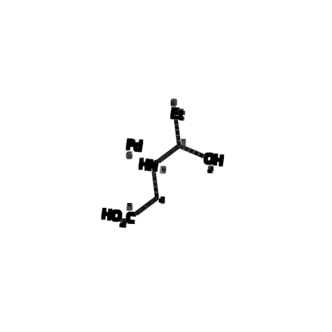 CCC(O)NCC(=O)O.[Pd]